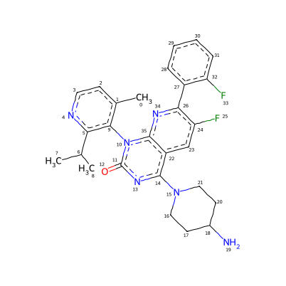 Cc1ccnc(C(C)C)c1-n1c(=O)nc(N2CCC(N)CC2)c2cc(F)c(-c3ccccc3F)nc21